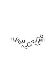 CCOC(=O)C1CC1Oc1ccc(Oc2ccnc3c2CCC(=O)N3)cc1